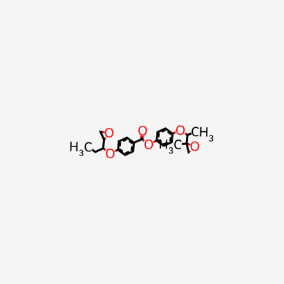 CCC(Oc1ccc(C(=O)Oc2ccc(OC(C)C3(C)CO3)cc2)cc1)C1CO1